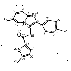 Cc1ccc(-c2nc3ccc(C)cn3c2CC(=O)c2ccc(C)s2)cc1